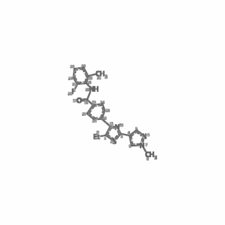 CCc1sc(-c2cnn(C)c2)nc1-c1ccc(C(=O)Nc2c(C)cccc2F)cc1